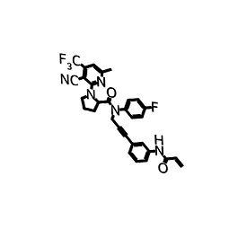 C=CC(=O)Nc1cccc(C#CCN(C(=O)C2CCCN2c2nc(C)cc(C(F)(F)F)c2C#N)c2ccc(F)cc2)c1